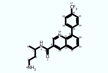 CC(CCN)NC(=O)c1cnc2c(-c3ccc(C(F)(F)F)cc3)cccc2c1